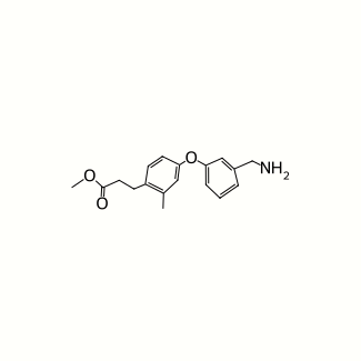 COC(=O)CCc1ccc(Oc2cccc(CN)c2)cc1C